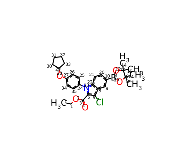 CCOC(=O)c1c(Cl)c2cc(B3OC(C)(C)C(C)(C)O3)ccc2n1-c1ccc(OC2CCCC2)cc1